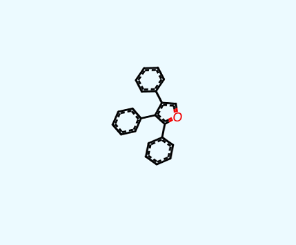 c1ccc(-c2coc(-c3ccccc3)c2-c2ccccc2)cc1